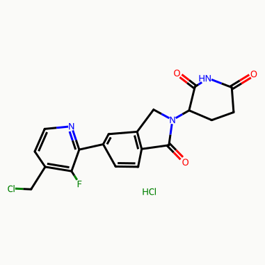 Cl.O=C1CCC(N2Cc3cc(-c4nccc(CCl)c4F)ccc3C2=O)C(=O)N1